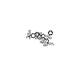 C[C@@H](C(CC(C)(C)O)S(=O)(=O)c1ccccc1)[C@@H]1CC[C@H]2[C@@H]3CC=C4C[C@](O)(C(F)(F)F)CC[C@]4(C)[C@H]3CC[C@@]21C